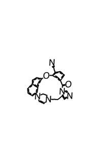 N#Cc1ccc2cc1Oc1ccc3cccc(c3c1)N1C=CN(CC1)Cc1cncn1C2=O